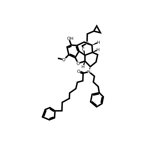 COc1cc(O)c2c3c1O[C@H]1[C@@H](N(CCCc4ccccc4)C(=O)CCCCCCCc4ccccc4)CC[C@H]4[C@@H](C2)N(CC2CC2)CC[C@@]341